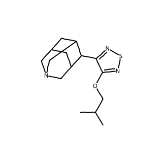 CC(C)COc1nsnc1C1C2CC3CC1CN(C3)C2